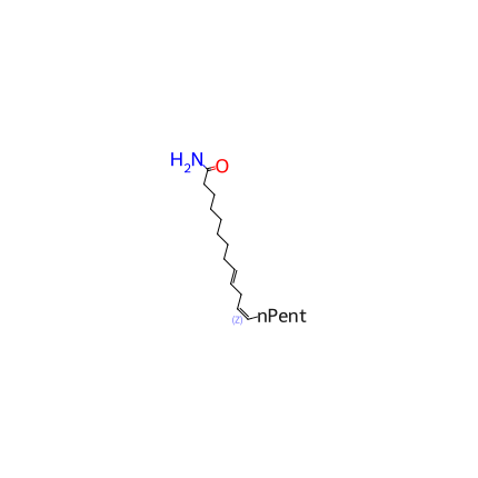 CCCCC/C=C\CC=CCCCCCCCC(N)=O